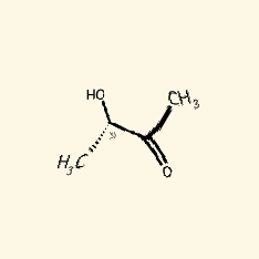 CC(=O)[C@H](C)O